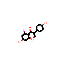 O=c1c(-c2ccc(O)cc2)coc2cc(O)cc(I)c12